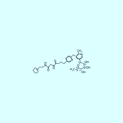 CS[C@H]1O[C@@H](c2ccc(C)c(Cc3ccc(CCCC(=O)NCC(=O)NCCN4CCCC4)cc3)c2)[C@H](O)[C@@H](O)[C@@H]1O